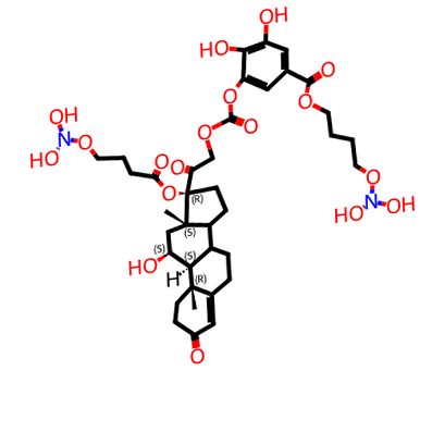 C[C@]12CCC(=O)C=C1CCC1C3CC[C@](OC(=O)CCCON(O)O)(C(=O)COC(=O)Oc4cc(C(=O)OCCCCON(O)O)cc(O)c4O)[C@@]3(C)C[C@H](O)[C@@H]12